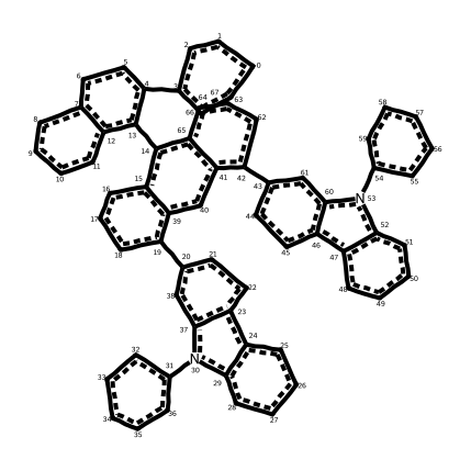 c1ccc(-c2ccc3ccccc3c2-c2c3cccc(-c4ccc5c6ccccc6n(-c6ccccc6)c5c4)c3cc3c(-c4ccc5c6ccccc6n(-c6ccccc6)c5c4)cccc23)cc1